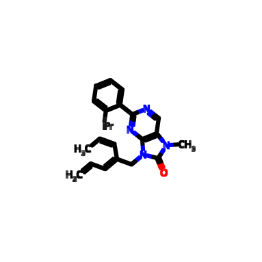 C=C/C=C(\C=C/C)Cn1c(=O)n(C)c2cnc(-c3ccccc3C(C)C)nc21